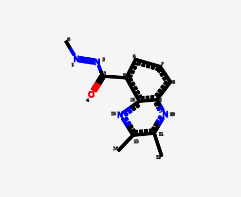 CN=NC(=O)c1cccc2nc(C)c(C)nc12